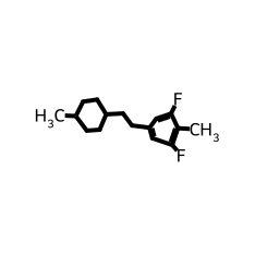 Cc1c(F)cc(CCC2CCC(C)CC2)cc1F